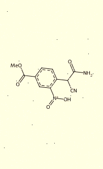 COC(=O)c1ccc(C(C#N)C(N)=O)c([N+](=O)O)c1